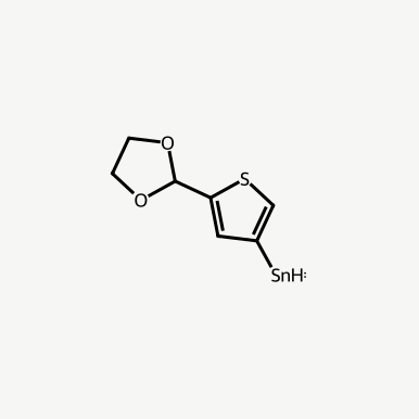 [SnH][c]1csc(C2OCCO2)c1